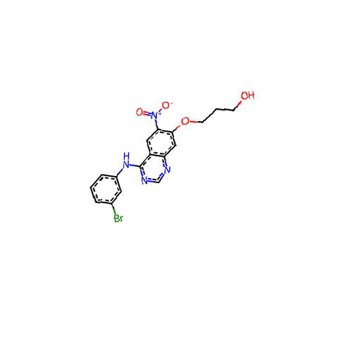 O=[N+]([O-])c1cc2c(Nc3cccc(Br)c3)ncnc2cc1OCCCO